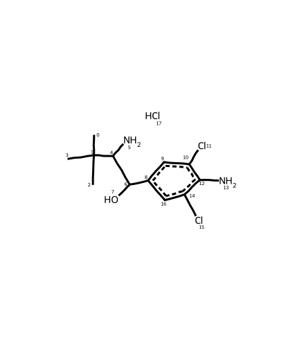 CC(C)(C)C(N)C(O)c1cc(Cl)c(N)c(Cl)c1.Cl